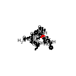 CCCc1cc(O)n(CC(=O)N[C@H](C(=O)N[C@@H](CCCNC(N)=O)C(=O)Nc2ccc(COC(=O)N(C)[C@H](C(=O)N[C@H](C(=O)N(C)[C@@H]([C@@H](C)CC)[C@@H](CC(=O)N3CCC[C@H]3[C@H](OC)[C@@H](C)C(=O)N[C@H](C)[C@@H](O)c3ccccc3)OC)C(C)C)C(C)C)cc2)C(C)C)n1